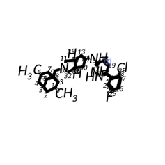 CC1CC2CC(C)CC(CN3C[C@H]4C[C@H](NC(=N)/C=C\C(=N)c5cc(F)ccc5Cl)C[C@H]4C3)(C1)C2